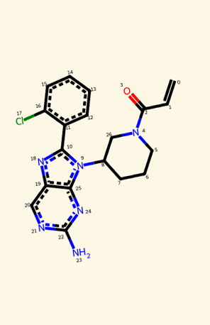 C=CC(=O)N1CCCC(n2c(-c3ccccc3Cl)nc3cnc(N)nc32)C1